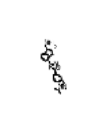 CC(C)n1ncc2cc(-c3nc(-c4cccc5c4CCC5CN)no3)ccc21